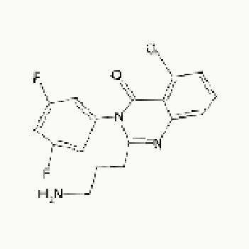 NCCCc1nc2cccc(Cl)c2c(=O)n1-c1cc(F)cc(F)c1